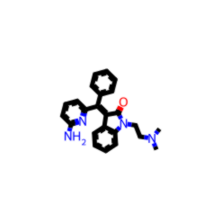 CN(C)CCN1C(=O)C(=C(c2ccccc2)c2cccc(N)n2)c2ccccc21